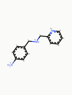 Nc1ccc(CNCc2ccccn2)cc1